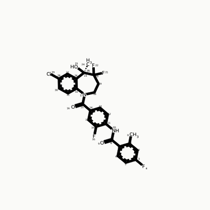 Cc1cc(F)ccc1C(=O)Nc1ccc(C(=O)N2CCC(F)(F)[C@](C)(O)c3cc(Cl)ccc32)cc1F